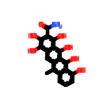 Cc1c2cccc(O)c2c(O)c2c(O)c3c(O)c(C(N)=O)c(O)c(O)c3cc12